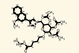 COc1cc(-c2cn(CC3O[C@@H](OCCCCC(=O)ONS)C(NC(C)=O)C(OC(C)=O)[C@H]3OC(C)=O)nn2)cc2ccccc12